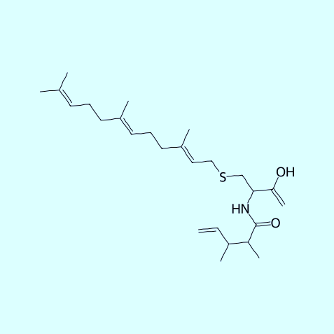 C=CC(C)C(C)C(=O)NC(CSC/C=C(\C)CC/C=C(\C)CCC=C(C)C)C(=C)O